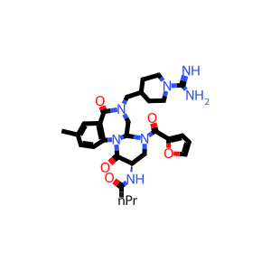 CCCC(=O)N[C@H]1CN(C(=O)c2ccco2)C2CN(CC3CCN(C(=N)N)CC3)C(=O)c3cc(C)ccc3N2C1=O